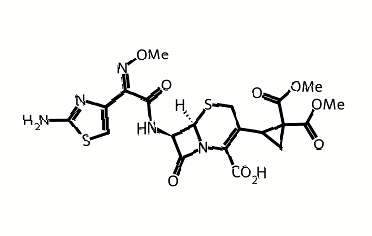 CO/N=C(\C(=O)N[C@@H]1C(=O)N2C(C(=O)O)=C(C3CC3(C(=O)OC)C(=O)OC)CS[C@H]12)c1csc(N)n1